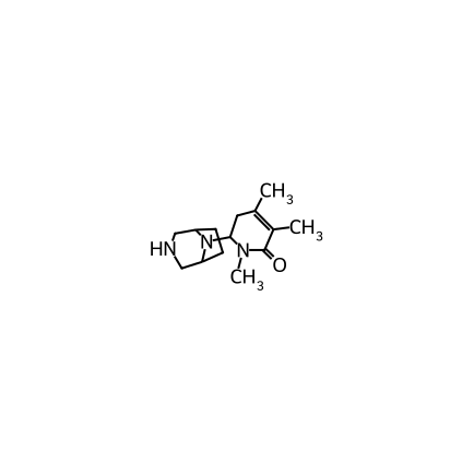 CC1=C(C)C(=O)N(C)C(N2C3CCC2CNC3)C1